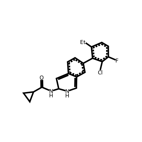 CCc1ccc(F)c(Cl)c1-c1ccc2c(c1)=CNC(NC(=O)C1CC1)C=2